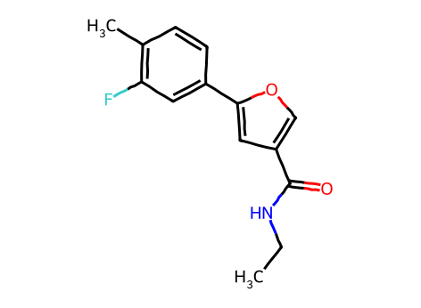 CCNC(=O)c1coc(-c2ccc(C)c(F)c2)c1